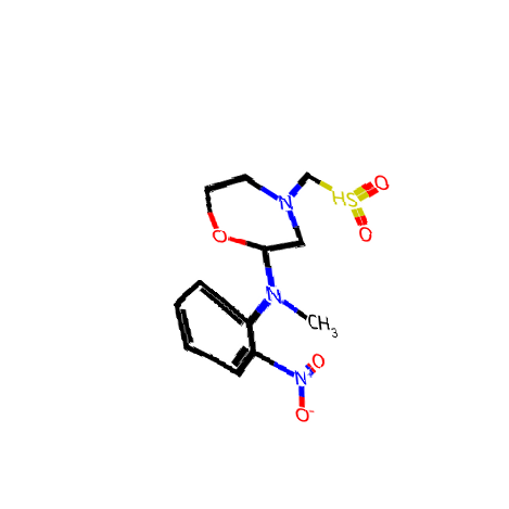 CN(c1ccccc1[N+](=O)[O-])C1CN(C[SH](=O)=O)CCO1